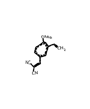 C=Cc1cc(C=C(C#N)C#N)ccc1OC